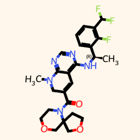 C[C@@H](Nc1ncnc2c1C=C(C(=O)N1CCOCC13CCOC3)CN2C)c1cccc(C(F)F)c1F